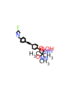 CNC(=O)C(C)(C(=O)NO)C(C)C(=O)C1=CCC(C#Cc2ccc(CN3CC(F)C3)cc2)C=C1